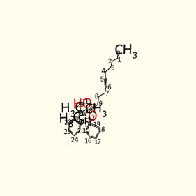 CCCCCC#CCCCC(O)O[Si](c1ccccc1)(c1ccccc1)C(C)(C)C